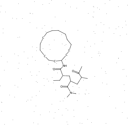 CCC(CC(CC(C)C(C)=O)C(=O)N(C)C)C(=O)NC1CCCCCCCCCCCCCC1